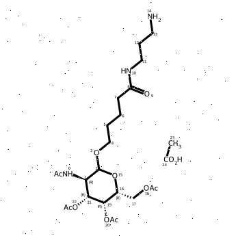 CC(=O)N[C@H]1C(OCCCCC(=O)NCCCN)O[C@H](COC(C)=O)[C@H](OC(C)=O)[C@@H]1OC(C)=O.CC(=O)O